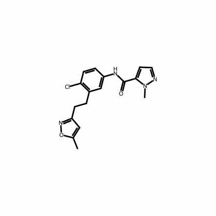 Cc1cc(CCc2cc(NC(=O)c3ccnn3C)ccc2Cl)no1